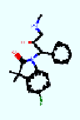 CNCC(O)C(c1ccccc1)N1C(=O)C(C)(C)c2cc(F)ccc21